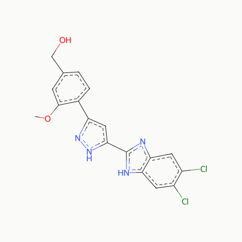 COc1cc(CO)ccc1-c1cc(-c2nc3cc(Cl)c(Cl)cc3[nH]2)[nH]n1